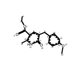 CCOC(=O)c1cc(Cc2ccc(OC)cc2)c(=O)[nH]c1C